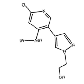 CC(C)[AsH]c1cc(Cl)ncc1-c1cnn(CCO)c1